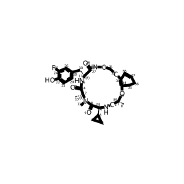 C[C@@H]1CN[C@@H](C2CC2)C(=O)N(C)[C@H](C)C(=O)N[C@H](Cc2ccc(O)c(F)c2)C(=O)NCCCC2=C(CCC=C2)O1